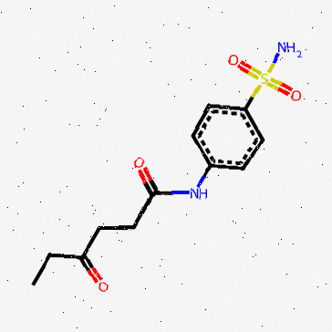 CCC(=O)CCC(=O)Nc1ccc(S(N)(=O)=O)cc1